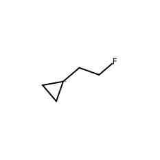 FCC[C]1CC1